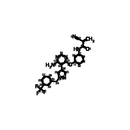 C=C(C#N)C(=O)Nc1cccc(Oc2ncnc(N)c2-c2cnn(Cc3cccc(C(F)(F)F)c3)c2)c1